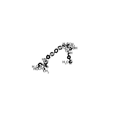 C=CCn1c(=O)c2cnc(Nc3ccc(N4CCN(C5CCC(N6CCN(CC(=O)N[C@H](C(=O)N7C[C@H](O)C[C@H]7C(=O)NCc7ccc(-c8scnc8C)cc7)C(C)(C)C)CC6)CC5)CC4)cc3)nc2n1-c1cccc(C(C)(C)O)n1